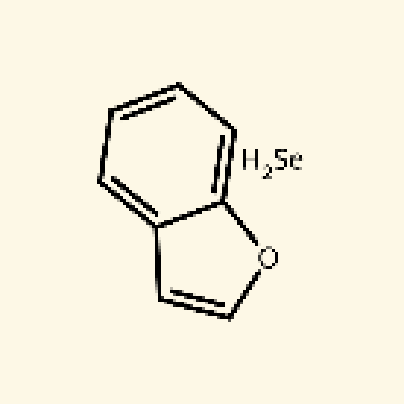 [SeH2].c1ccc2occc2c1